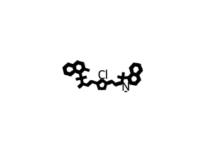 C=C(/C=C/C1=C(Cl)C(=C/C=C2/N(C)c3ccc4ccccc4c3C2(C)C)/CC1)C(C)(C)c1c(C)ccc2ccccc12